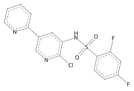 O=S(=O)(Nc1cc(-c2ccccn2)cnc1Cl)c1ccc(F)cc1F